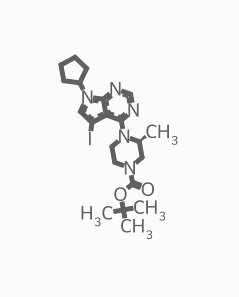 C[C@H]1CN(C(=O)OC(C)(C)C)CCN1c1ncnc2c1c(I)cn2C1CCCC1